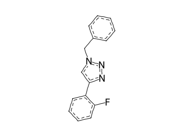 Fc1ccccc1-c1cn(Cc2ccccc2)nn1